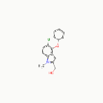 Cn1c(CO)cc2c(Oc3ccccc3)c(Cl)ccc21